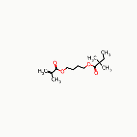 C=C(C)C(=O)OCCCCOC(=O)C(C)(C)CC